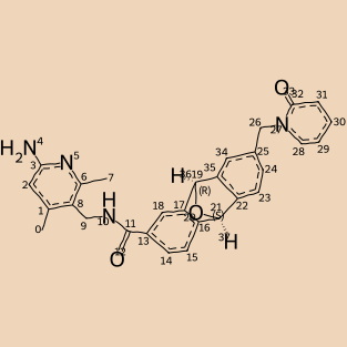 Cc1cc(N)nc(C)c1CNC(=O)c1ccc2c(c1)[C@@H]1O[C@H]2c2ccc(Cn3ccccc3=O)cc21